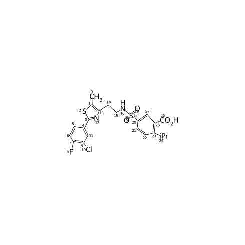 Cc1sc(-c2ccc(F)c(Cl)c2)nc1CCNS(=O)(=O)c1ccc(C(C)C)c(C(=O)O)c1